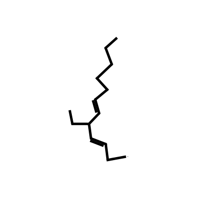 [CH2]CC=CC(C=CCCCCC)CC